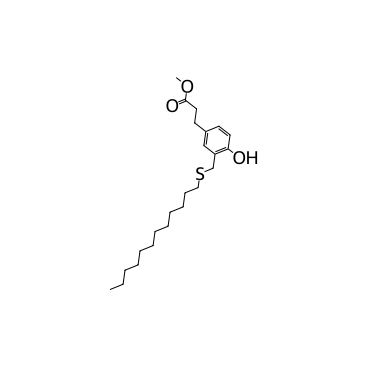 CCCCCCCCCCCCSCc1cc(CCC(=O)OC)ccc1O